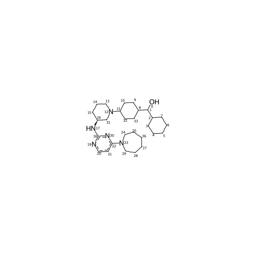 OC(C1CCCCC1)C1CCC(N2CCC[C@H](Nc3nccc(N4CCCCCC4)n3)C2)CC1